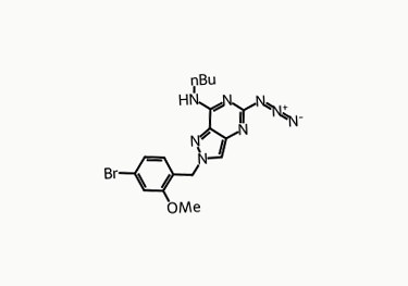 CCCCNc1nc(N=[N+]=[N-])nc2cn(Cc3ccc(Br)cc3OC)nc12